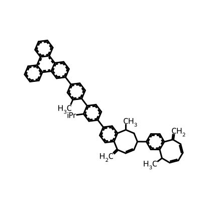 C=C1/C=C\C=C/C(C)c2cc(C3/C=C\C(=C)c4ccc(-c5ccc(-c6ccc(-c7ccc8c9ccccc9c9ccccc9c8c7)cc6C)c(C(C)C)c5)cc4C(C)C3)ccc21